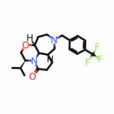 CC(C)[C@H]1CO[C@@H]2CCN(Cc3ccc(C(F)(F)F)cc3)C[C@H]3CCC(=O)N1C32